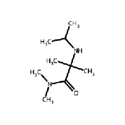 CC(C)NC(C)(C)C(=O)N(C)C